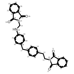 O=C1c2ccccc2C(=O)N1CCc1ccc(Cc2ccc(NCN3C(=O)c4ccccc4C3=O)cc2)cc1